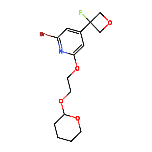 FC1(c2cc(Br)nc(OCCOC3CCCCO3)c2)COC1